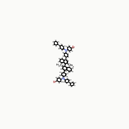 Cc1cc(-c2ccc(N(c3ccc(Br)cc3)c3ccc(-c4ccccc4)cc3)cc2)c2ccccc2c1-c1c(C)cc(-c2ccc(N(c3ccc(Br)cc3)c3ccc(-c4ccccc4)cc3)cc2)c2ccccc12